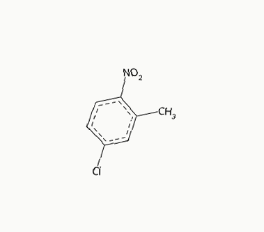 Cc1cc(Cl)ccc1[N+](=O)[O-]